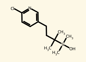 CC(C)(CCc1ccc(Cl)nc1)[Si](C)(C)O